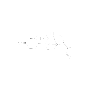 CC(C=O)=C1CC[C@H]2[C@@H]3CCC4=CC(=O)CC[C@]4(C)C3(O)CC[C@]12C